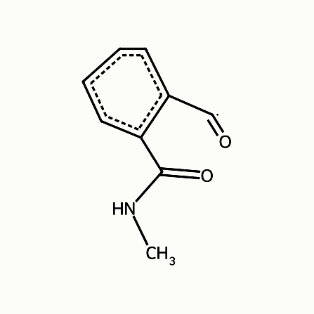 CNC(=O)c1ccccc1[C]=O